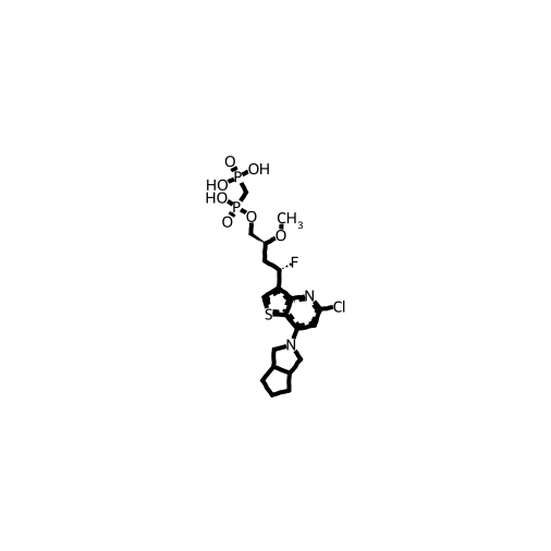 CO[C@H](COP(=O)(O)CP(=O)(O)O)C[C@H](F)c1csc2c(N3CC4CCCC4C3)cc(Cl)nc12